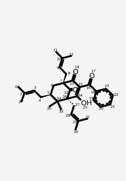 CC(C)=CC[C@H]1C[C@]2(CC=C(C)C)C(=O)C(C(=O)c3ccccc3)=C(O)[C@](CC=C(C)C)(C2=O)C1(C)C